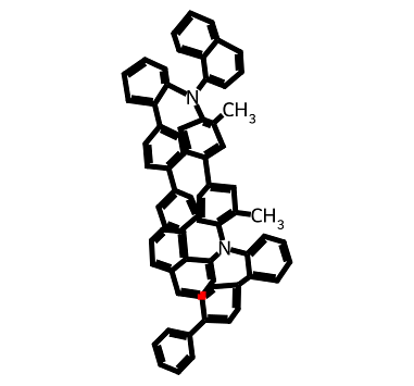 Cc1cc(-c2ccc(N(c3ccccc3-c3ccc(-c4ccccc4)cc3)c3cccc4ccccc34)c(C)c2)ccc1N(c1ccccc1-c1ccc(-c2ccccc2)cc1)c1cccc2ccccc12